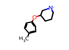 Cc1ccc(OC2CCC[N]C2)cc1